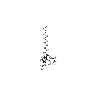 CCCCCCCCCCCCCN1C=CN(CCC)C1c1ccccc1